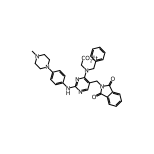 CCOC(=O)CN(Cc1ccccc1)c1nc(Nc2ccc(N3CCN(C)CC3)cc2)ncc1CN1C(=O)c2ccccc2C1=O